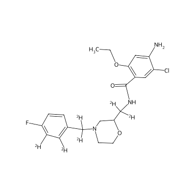 [2H]c1c(F)ccc(C([2H])([2H])N2CCOC(C([2H])([2H])NC(=O)c3cc(Cl)c(N)cc3OCC)C2)c1[2H]